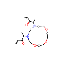 C=CC(=O)C(C)N1CCOCCOCCOCCN(C(C)C(=O)C=C)CC1